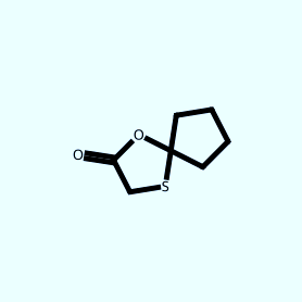 O=C1CSC2(CCCC2)O1